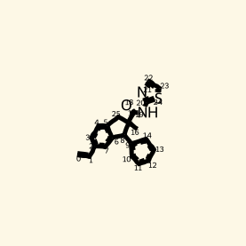 C=Cc1ccc2c(c1)C(c1ccccc1)C(C)(C(=O)Nc1nccs1)C2